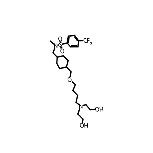 CN(CC1CCC(COCCCCN(CCO)CCO)CC1)S(=O)(=O)c1ccc(C(F)(F)F)cc1